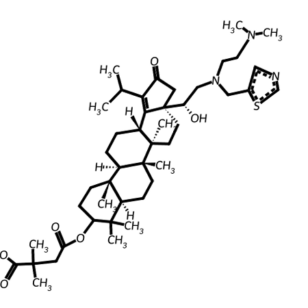 CC(C)C1=C2[C@H]3CC[C@@H]4[C@@]5(C)CCC(OC(=O)CC(C)(C)C(=O)O)C(C)(C)[C@@H]5CC[C@@]4(C)[C@]3(C)CC[C@@]2([C@@H](O)CN(CCN(C)C)Cc2cncs2)CC1=O